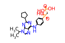 CC(C)n1cnc2c(Nc3ccc(P(=O)(O)CP(=O)(O)O)cc3)nc(C3CCCC3)nc21